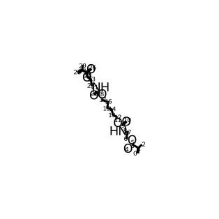 C=C(C)C(=O)OCCNC(=O)OCCCCCCOC(=O)NCCOC(=O)C(=C)C